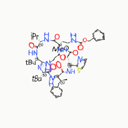 COC(=O)C[C@@H](NC(=O)[C@@H](NC(=O)[C@@H](/N=C1\NCC(=O)N[C@@H](CCNC(=O)OCc2ccccc2)C(=O)N[C@@H](C(C)C)C(=O)N[C@H]1C(C)(C)C)C(C)(C)C)[C@@H](C)c1ccccc1)c1nccs1